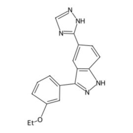 [CH2]COc1cccc(-c2n[nH]c3ccc(-c4ncn[nH]4)cc23)c1